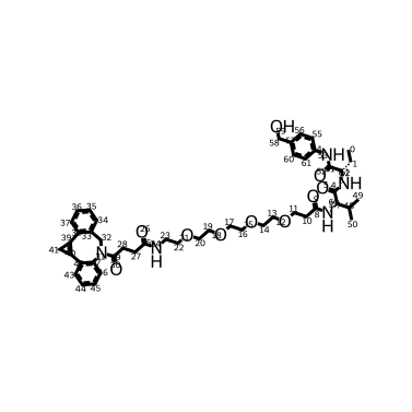 CC[C@H](NC(=O)[C@@H](NC(=O)CCOCCOCCOCCOCCNC(=O)CCC(=O)N1Cc2ccccc2C2=C(C2)c2ccccc21)C(C)C)C(=O)Nc1ccc(CO)cc1